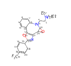 CCN(CC)CCN1C2C=CC=CC2c2oc(C3C=CC(C(F)(F)F)=CC3)nc2C2OC21